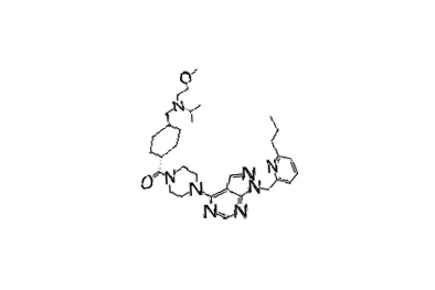 CCCc1cccc(Cn2ncc3c(N4CCN(C(=O)[C@H]5CC[C@H](CN(CCOC)C(C)C)CC5)CC4)ncnc32)n1